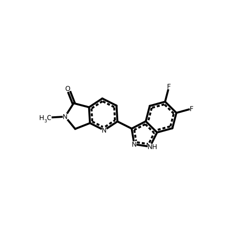 CN1Cc2nc(-c3n[nH]c4cc(F)c(F)cc34)ccc2C1=O